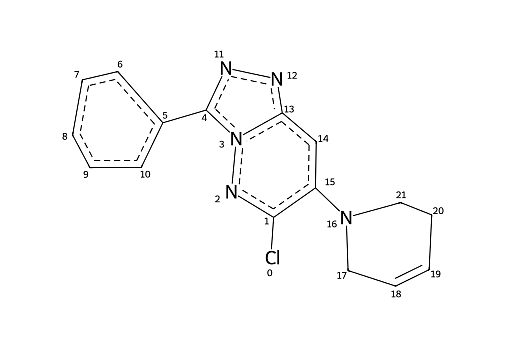 Clc1nn2c(-c3ccccc3)nnc2cc1N1CC=CCC1